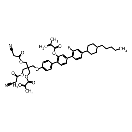 C=C(C)C(=O)OCC(COC(=O)CC#N)(COC(=O)CC#N)COc1ccc(-c2ccc(-c3ccc(C4CCC(CCCCC)CC4)cc3F)cc2OC(=O)C(=C)C)cc1